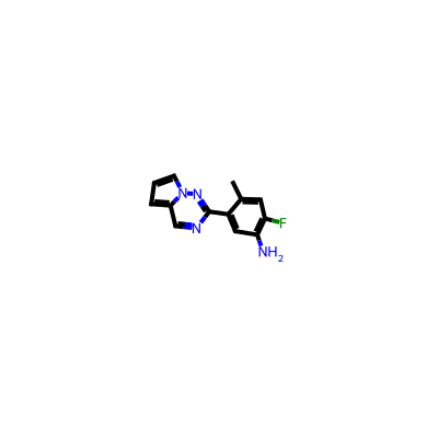 Cc1cc(F)c(N)cc1-c1ncc2cccn2n1